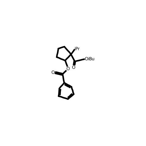 CC(C)COC(=O)C1(C(C)C)CCCC1OC(=O)c1ccccc1